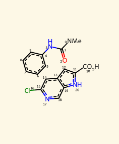 CNC(=O)Nc1ccccc1.O=C(O)c1cc2cc(Cl)ncc2[nH]1